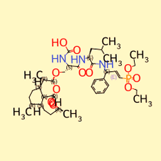 CCOP(=O)(/C=C/[C@H](NC(=O)[C@H](CC(C)C)NC(=O)[C@H](CO[C@H]1O[C@@H]2O[C@@]3(C)CC[C@H]4[C@H](C)CC[C@@H]([C@H]1C)[C@@]24OO3)NC(=O)O)c1ccccc1)OCC